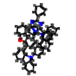 c1ccc(-c2nc(-c3ccccc3)nc(-c3cccc4oc5c(-c6cccc7c8ccccc8n(-c8ccccc8)c67)cc(-c6cccc7c8ccccc8n(-c8ccccc8)c67)cc5c34)n2)cc1